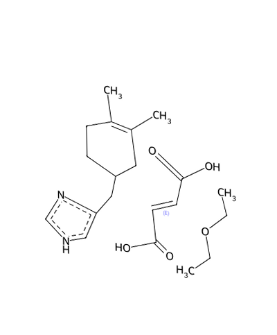 CC1=C(C)CC(Cc2c[nH]cn2)CC1.CCOCC.O=C(O)/C=C/C(=O)O